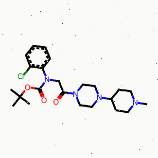 CN1CCC(N2CCN(C(=O)CN(C(=O)OC(C)(C)C)c3ccccc3Cl)CC2)CC1